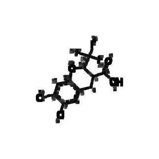 O=C(O)C1Cc2cc(Cl)c(Cl)cc2OC1C(F)(F)F